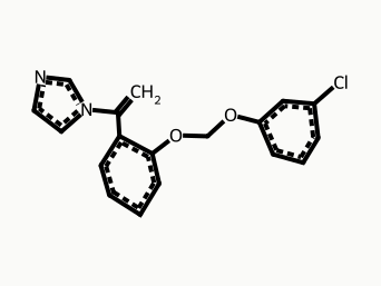 C=C(c1ccccc1OCOc1cccc(Cl)c1)n1ccnc1